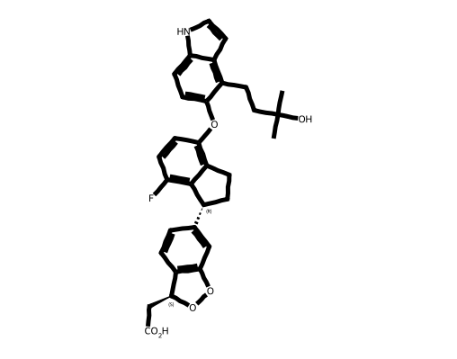 CC(C)(O)CCc1c(Oc2ccc(F)c3c2CC[C@@H]3c2ccc3c(c2)OO[C@H]3CC(=O)O)ccc2[nH]ccc12